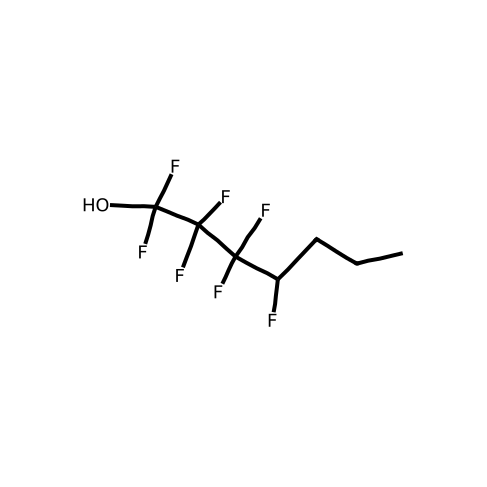 CCCC(F)C(F)(F)C(F)(F)C(O)(F)F